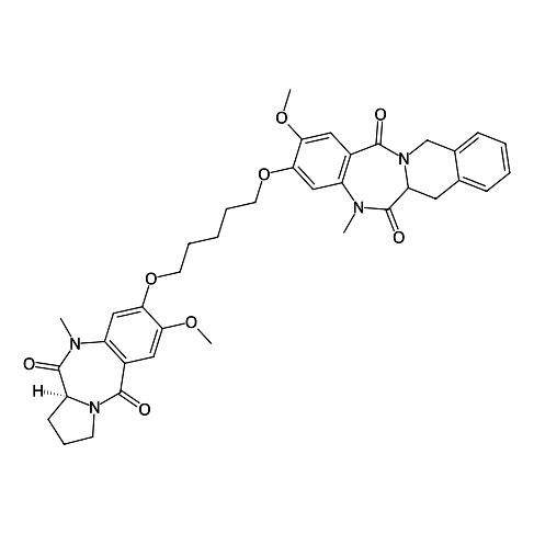 COc1cc2c(cc1OCCCCCOc1cc3c(cc1OC)C(=O)N1CCC[C@H]1C(=O)N3C)N(C)C(=O)C1Cc3ccccc3CN1C2=O